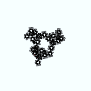 c1ccc(-c2cccc(-c3nc(-c4ccccc4)nc(-c4ccc(-c5cccc(-c6ccc(-c7nc(-c8ccccc8)nc(-c8ccc(-c9cccc(-c%10nc(-c%11ccccc%11)nc(-c%11cccc%12sc%13ccc(-c%14nc%15ccccc%15n%14-c%14ccccc%14)cc%13c%11%12)n%10)c9)c9sc%10ccc(-c%11nc%12ccccc%12n%11-c%11ccccc%11)cc%10c89)n7)cc6)c5)c5sc6ccc(-c7nc8ccccc8n7-c7ccccc7)cc6c45)n3)c2)cc1